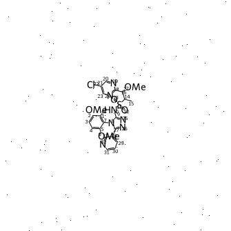 COc1cccc(OC)c1-n1c(NS(=O)(=O)C(C)[C@H](OC)c2ncc(Cl)cn2)nnc1-c1cccnc1